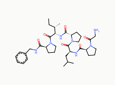 CC[C@H](C)[C@H](NC(=O)[C@@H]1CCCN1C(=O)[C@H](CC(C)C)NC(=O)[C@@H]1CCCN1C(=O)CN)C(=O)N1CCC[C@H]1C(=O)NCc1ccccc1